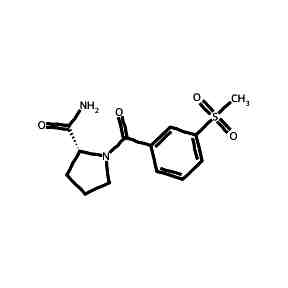 CS(=O)(=O)c1cccc(C(=O)N2CCC[C@@H]2C(N)=O)c1